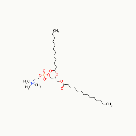 CCCCCCCCCCCCCC(=O)OC[C@H](COP(=O)([O-])OCC[N+](C)(C)C)OC(=O)CCCCCCCCCCC